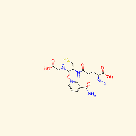 NC(=O)c1cccnc1.N[C@@H](CCC(=O)N[C@@H](CS)C(=O)NCC(=O)O)C(=O)O